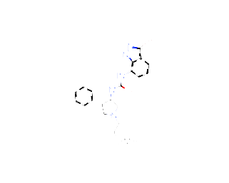 COCCN1C[C@H](NC(=O)Nc2cccc3c(Br)n[nH]c23)[C@@H](c2ccccc2)C1